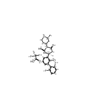 C[C@H]1C[C@@H](N2C(=N)N[C@](C)(c3cccc(-c4c(F)cccc4F)c3Cl)CC2=O)CCO1.O=C(O)C(F)(F)F